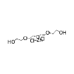 OCCOCCOCCOCCO.[Cl][Zn][Cl]